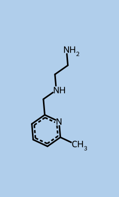 Cc1cccc(CNCCN)n1